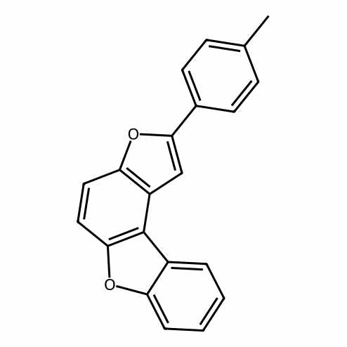 Cc1ccc(-c2cc3c(ccc4oc5ccccc5c43)o2)cc1